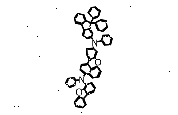 c1ccc(N(c2ccc3c(c2)Oc2cccc4c(N(c5ccccc5)c5cccc6c5oc5ccccc56)ccc-3c24)c2ccc3c(c2)C(c2ccccc2)(c2ccccc2)c2ccccc2-3)cc1